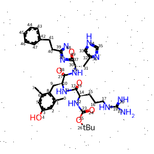 Cc1cc(O)cc(C)c1C[C@H](NC(=O)[C@@H](CCCNC(=N)N)NC(=O)OC(C)(C)C)C(=O)N[C@@H](Cc1c[nH]cn1)c1nc(CCc2ccccc2)no1